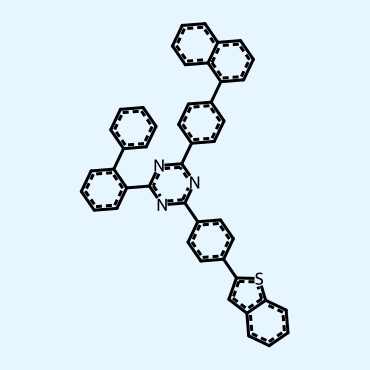 c1ccc(-c2ccccc2-c2nc(-c3ccc(-c4cc5ccccc5s4)cc3)nc(-c3ccc(-c4cccc5ccccc45)cc3)n2)cc1